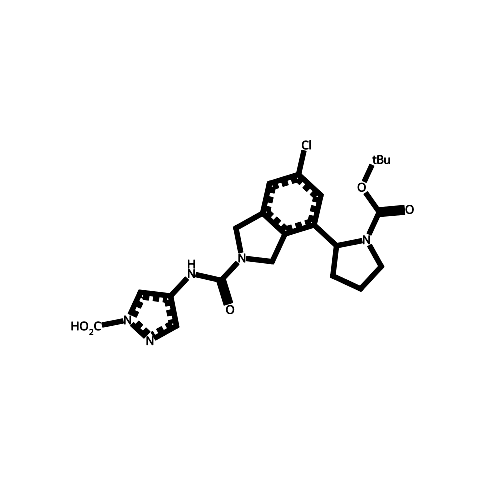 CC(C)(C)OC(=O)N1CCCC1c1cc(Cl)cc2c1CN(C(=O)Nc1cnn(C(=O)O)c1)C2